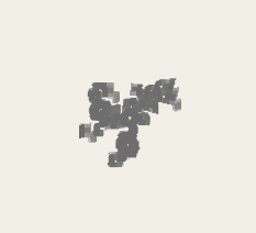 COc1ccc([C@@H](C)NC(=O)C2=CC(Cc3ccc(Cl)cc3)C(=O)C3=C2SCN3NC(=O)OC(C)(C)C)cc1